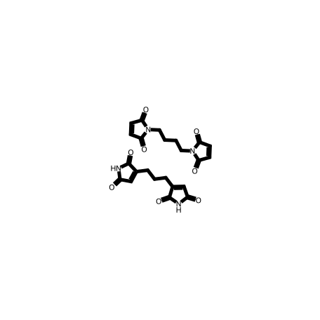 O=C1C=C(CCCC2=CC(=O)NC2=O)C(=O)N1.O=C1C=CC(=O)N1CCCCN1C(=O)C=CC1=O